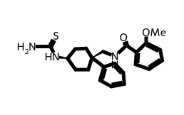 COc1ccccc1C(=O)NC[C@]1(c2ccccc2)CC[C@H](NC(N)=S)CC1